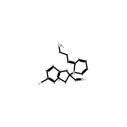 CCC/C=C1\C=CC=CN1C1(C=O)Cc2ccc(I)cc2C1